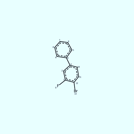 Fc1cc(-c2ccccc2)ccc1Br